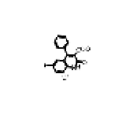 O=C([O-])c1c(-c2ccccc2)c2cc(F)ccc2[nH]c1=O.[Li+]